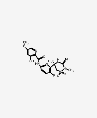 COc1cnc(C(=O)Nc2ccc(F)c([C@]3(C)CS(=O)(=O)N(C)C(=N)N3)n2)c(O)c1